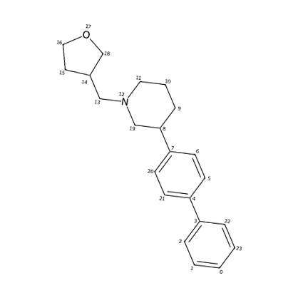 c1ccc(-c2ccc(C3CCCN(CC4CCOC4)C3)cc2)cc1